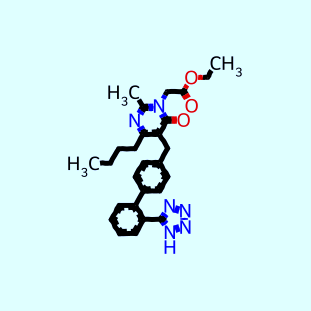 CCCCc1nc(C)n(CC(=O)OCC)c(=O)c1Cc1ccc(-c2ccccc2-c2nnn[nH]2)cc1